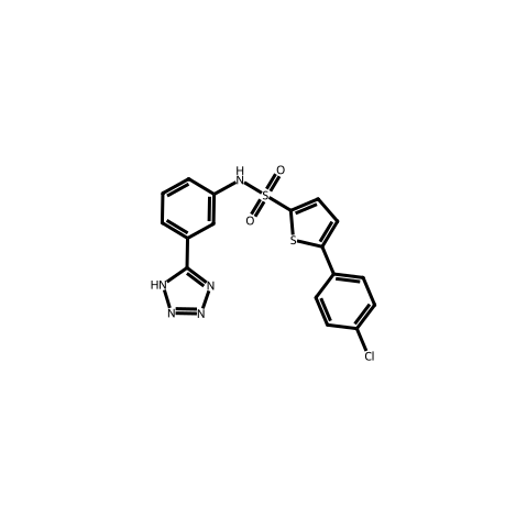 O=S(=O)(Nc1cccc(-c2nnn[nH]2)c1)c1ccc(-c2ccc(Cl)cc2)s1